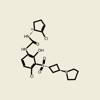 O=C(Nc1ccc(Cl)c(S(=O)(=O)[C@H]2C[C@H](N3CCCC3)C2)c1O)N[C@@H]1CCC=C1Cl